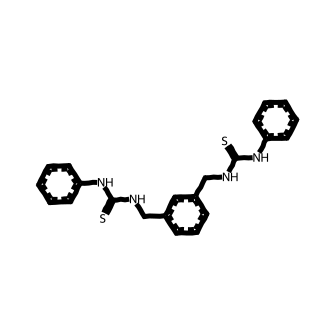 S=C(NCc1cccc(CNC(=S)Nc2ccccc2)c1)Nc1ccccc1